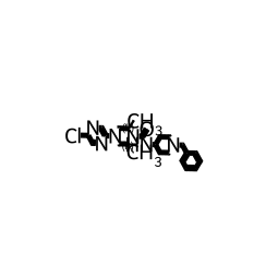 C[C@@H]1CN(c2cnc(Cl)cn2)C[C@@H](C)N1C(=O)NC1CCN(Cc2ccccc2)CC1